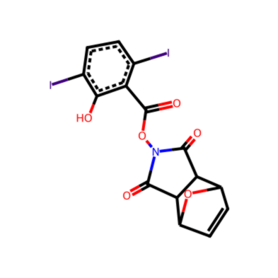 O=C(ON1C(=O)C2C3C=CC(O3)C2C1=O)c1c(I)ccc(I)c1O